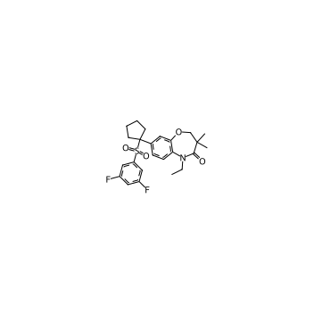 CCN1C(=O)C(C)(C)COc2cc(C3(S(=O)(=O)c4cc(F)cc(F)c4)CCCC3)ccc21